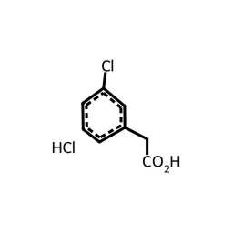 Cl.O=C(O)Cc1cccc(Cl)c1